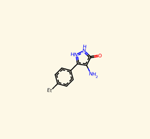 CCc1ccc(-c2[nH][nH]c(=O)c2N)cc1